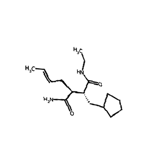 C/C=C/C[C@H](C(N)=O)[C@@H](CC1CCCC1)C(=O)NCC